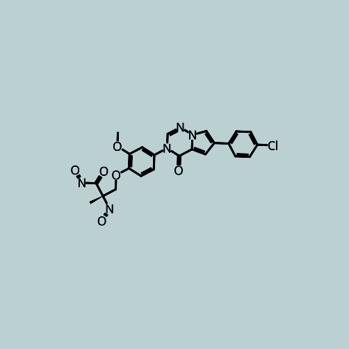 COc1cc(-n2cnn3cc(-c4ccc(Cl)cc4)cc3c2=O)ccc1OC[C@](C)(N=O)C(=O)N=O